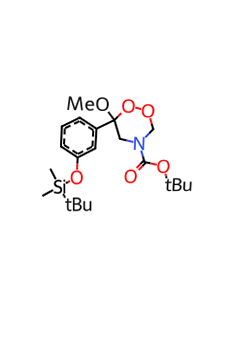 COC1(c2cccc(O[Si](C)(C)C(C)(C)C)c2)CN(C(=O)OC(C)(C)C)COO1